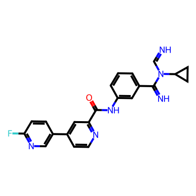 N=CN(C(=N)c1cccc(NC(=O)c2cc(-c3ccc(F)nc3)ccn2)c1)C1CC1